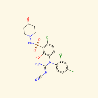 N#CN=C(N)N(c1ccc(F)cc1Cl)c1ccc(Cl)c(S(=O)(=O)NN2CCC(=O)CC2)c1O